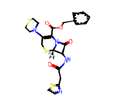 O=C(Cc1nccs1)NC1C(=O)N2C(C(=O)OCc3ccccc3)=C(N3CCSCC3)CS[C@@H]12